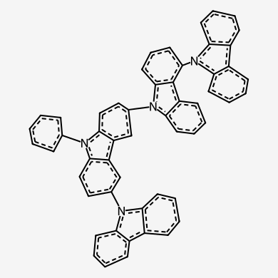 c1ccc(-n2c3ccc(-n4c5ccccc5c5ccccc54)cc3c3cc(-n4c5ccccc5c5c(-n6c7ccccc7c7ccccc76)cccc54)ccc32)cc1